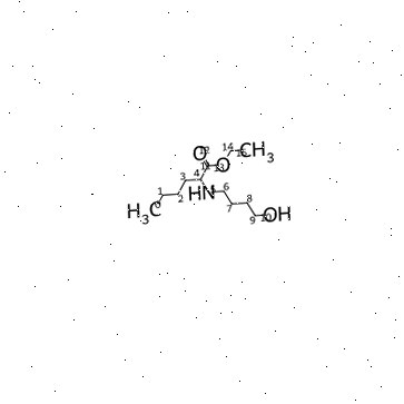 CCCCC(NCCCCO)C(=O)OCC